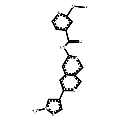 CC(C)Oc1cc(C(=O)Nc2cc3cc(-c4cnn(C)c4)ncc3cn2)ccn1